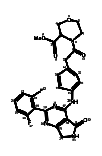 COC(=O)C1COCCN1C(=O)Cc1ccc(Nc2nc(-c3c(F)cccc3F)nc3c2C(=O)NC3)cc1